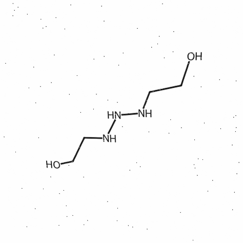 OCCNNNCCO